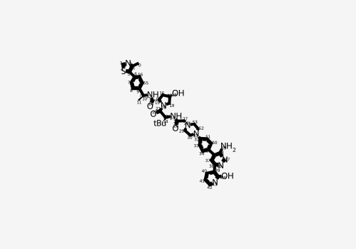 Cc1ncsc1-c1ccc([C@H](C)NC(=O)[C@@H]2C[C@@H](O)CN2C(=O)[C@@H](NC(=O)CN2CCN(c3ccc(-c4cc(-c5cccnc5O)nnc4N)cc3)CC2)C(C)(C)C)cc1